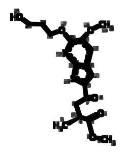 COC(=O)[C@@H](C)CC(=O)c1cc2cc(OC)c(OCCCO)nc2s1